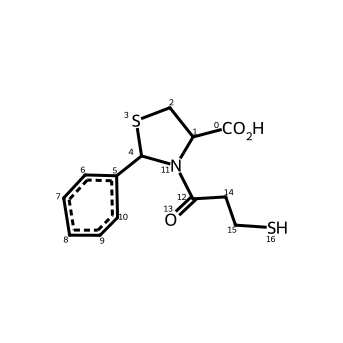 O=C(O)C1CSC(c2ccccc2)N1C(=O)CCS